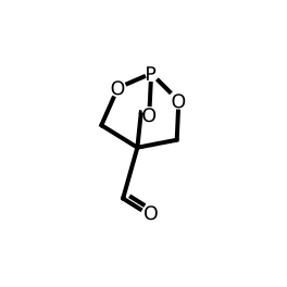 O=CC12COP(OC1)OC2